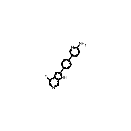 Nc1ccc(-c2ccc(-c3cc4c(F)cncc4[nH]3)cc2)cn1